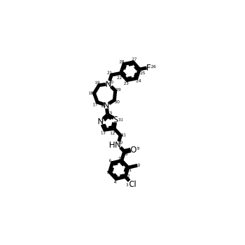 Cc1c(Cl)cccc1C(=O)NCc1cnc(N2CCCN(Cc3ccc(F)cc3)CC2)s1